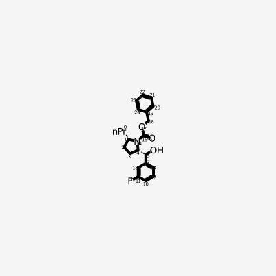 CCC[C@H]1CC[C@@H](C(O)c2cccc(F)c2)N1C(=O)OCc1ccccc1